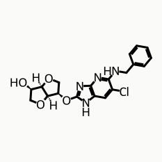 O[C@@H]1CO[C@H]2[C@@H]1OC[C@H]2Oc1nc2nc(NCc3ccccc3)c(Cl)cc2[nH]1